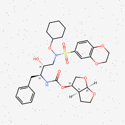 O=C(N[C@@H](Cc1ccccc1)[C@H](O)CN(OC1CCCCC1)S(=O)(=O)c1ccc2c(c1)OCCO2)O[C@H]1CO[C@H]2OCC[C@H]21